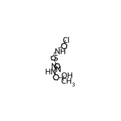 CC(O)c1cccc(Nc2nccc(-c3ccc(CNCc4cccc(Cl)c4)s3)n2)c1